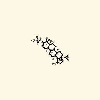 CC(C)[C@@H]1CC[C@]2(C3CO3)CC[C@]3(C)[C@H](CC[C@@H]4[C@@]5(C)CC=C(OS(=O)(=O)C(F)(F)F)C(C)(C)[C@@H]5CC[C@]43C)[C@@H]12